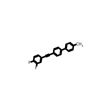 Cc1ccc(-c2ccc(C#Cc3ccc(F)c(F)c3)cc2)cc1